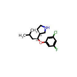 CC(C)C[C@H](Oc1cc(F)cc(Cl)c1)[C@H]1CCNC1